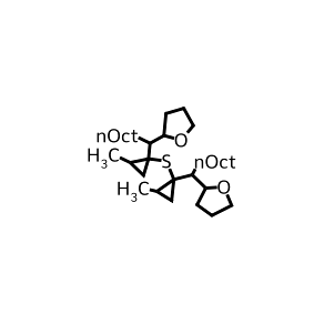 CCCCCCCCC(C1CCCO1)C1(SC2(C(CCCCCCCC)C3CCCO3)CC2C)CC1C